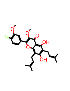 COc1cc(-c2oc3c(CC=C(C)C)c(O)c(CC=C(C)C)c(O)c3c(=O)c2OC)ccc1F